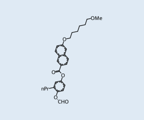 CCCc1cc(OC(=O)c2ccc3cc(OCCCCCCOC)ccc3c2)ccc1OC=O